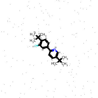 CC(C)(C)c1ccc(-c2ccc(C(C)(C)C)c(F)c2)nc1